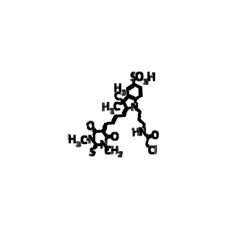 CN1C(=O)C(=C/C=C/C=C2/N(CCCNC(=O)CCl)c3ccc(S(=O)(=O)O)cc3C2(C)C)C(=O)N(C)C1=S